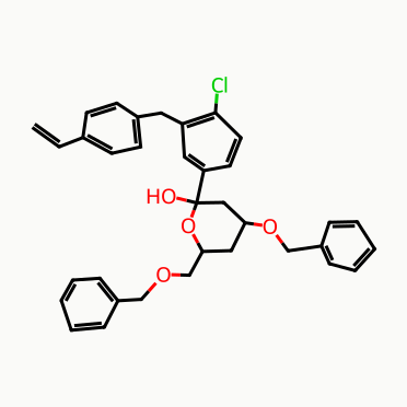 C=Cc1ccc(Cc2cc(C3(O)CC(OCc4ccccc4)CC(COCc4ccccc4)O3)ccc2Cl)cc1